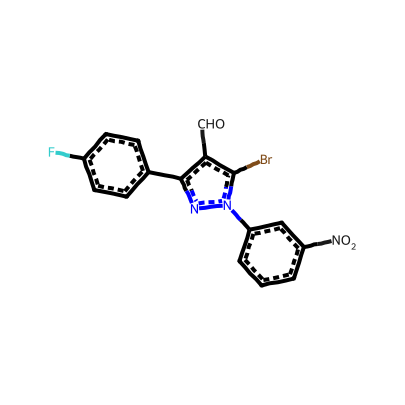 O=Cc1c(-c2ccc(F)cc2)nn(-c2cccc([N+](=O)[O-])c2)c1Br